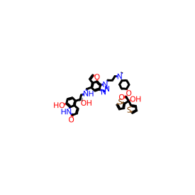 CN(CCCn1nnc2cc(CNC[C@H](O)c3ccc(O)c4[nH]c(=O)ccc34)c3ccoc3c21)[C@H]1CC[C@H](OC(=O)C(O)(c2cccs2)c2cccs2)CC1